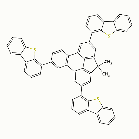 CC1(C)c2cc(-c3cccc4c3sc3ccccc34)cc3c4ccc(-c5cccc6c5sc5ccccc56)cc4c4cc(-c5cccc6c5sc5ccccc56)cc1c4c23